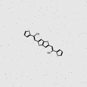 N#C/C(=C\c1cc2sc(/C=C(\C#N)c3cccs3)cc2s1)c1cccs1